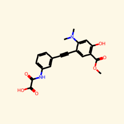 COC(=O)c1cc(C#Cc2cccc(NC(=O)C(=O)O)c2)c(N(C)C)cc1O